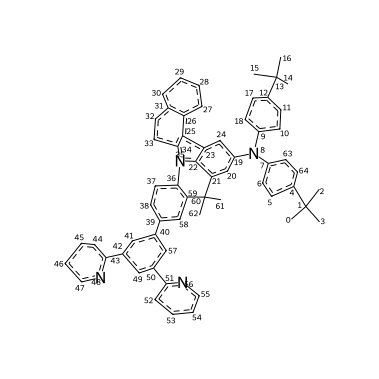 CC(C)(C)c1ccc(N(c2ccc(C(C)(C)C)cc2)c2cc3c4c(c2)c2c5ccccc5ccc2n4-c2ccc(-c4cc(-c5ccccn5)cc(-c5ccccn5)c4)cc2C3(C)C)cc1